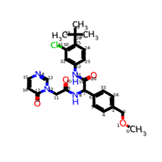 COCc1ccc(C(NC(=O)Cn2cnccc2=O)C(=O)Nc2ccc(C(C)(C)C)c(Cl)c2)cc1